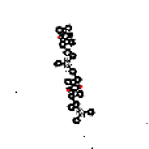 c1ccc(-c2nc(-c3ccc(-c4cccc5c4-c4ccccc4C54c5ccccc5C5(c6ccccc6-c6c(-c7ccc(-c8nc(-c9ccccc9)nc(-c9ccccc9)n8)c8ccccc78)cccc65)c5ccccc54)cc3)nc(-c3cccc4cc(-c5cccc6c5-c5ccccc5C65c6ccccc6C6(c7ccccc7-c7ccccc76)c6ccccc65)ccc34)n2)cc1